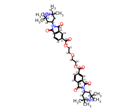 CC1(C)CC(N2C(=O)c3ccc(C(=O)OCCOCCOC(=O)c4ccc5c(c4)C(=O)N(C4CC(C)(C)NC(C)(C)C4)C5=O)cc3C2=O)CC(C)(C)N1